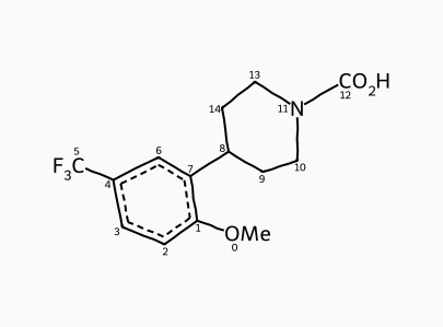 COc1ccc(C(F)(F)F)cc1C1CCN(C(=O)O)CC1